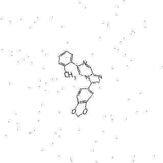 Cc1ccccc1-c1cn2c(-c3ccc4c(c3)OCO4)cnc2cn1